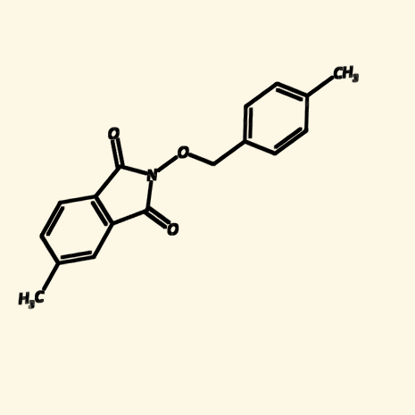 Cc1ccc(CON2C(=O)c3ccc(C)cc3C2=O)cc1